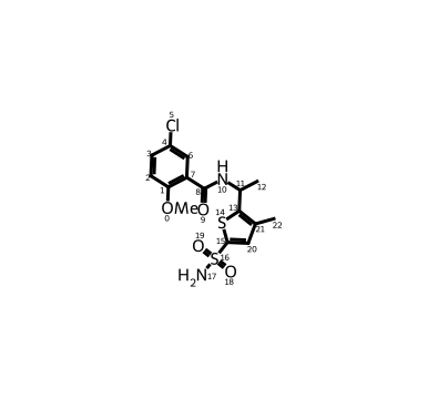 COc1ccc(Cl)cc1C(=O)NC(C)c1sc(S(N)(=O)=O)cc1C